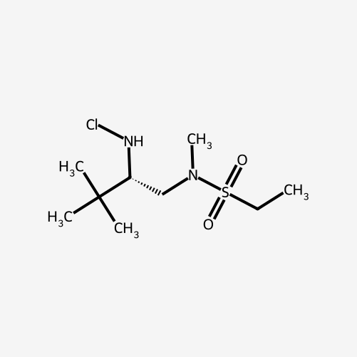 CCS(=O)(=O)N(C)C[C@@H](NCl)C(C)(C)C